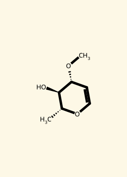 CO[C@@H]1C=CO[C@H](C)[C@H]1O